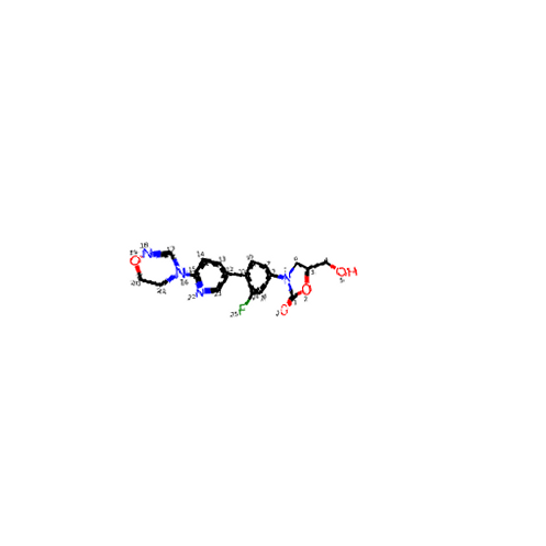 O=C1OC(CO)CN1c1ccc(-c2ccc(N3C=NOCC3)nc2)c(F)c1